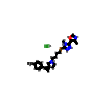 Cc1ncoc1-c1nnc(SCCCCN2CC[C@@]3(C[C@H]3c3ccc(C(F)(F)F)cc3)C2)n1C.Cl